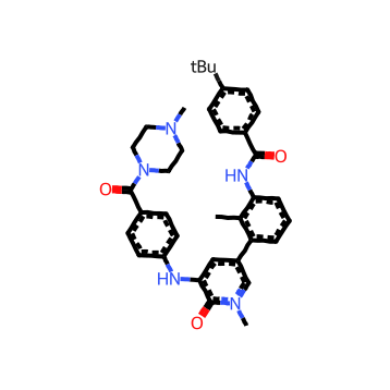 Cc1c(NC(=O)c2ccc(C(C)(C)C)cc2)cccc1-c1cc(Nc2ccc(C(=O)N3CCN(C)CC3)cc2)c(=O)n(C)c1